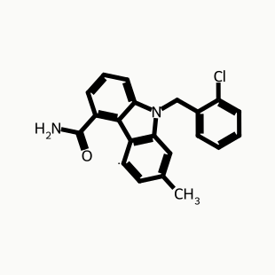 Cc1c[c]c2c3c(C(N)=O)cccc3n(Cc3ccccc3Cl)c2c1